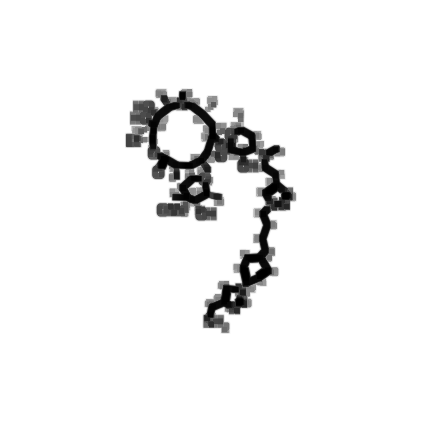 CC[C@H]1OC(=O)[C@H](C)[C@@H](C2C[C@@](C)(OC)[C@@H](O)[C@H](C)O2)[C@H](C)[C@@H](O[C@@H]2O[C@H](C)C[C@H](N(C)CCc3cn(CCCCc4ccc(-n5cc(CN)nn5)cc4)nn3)[C@H]2O)[C@](C)(O)C[C@@H](C)CN(C)[C@H](C)[C@@H](O)[C@]1(C)O